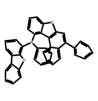 c1ccc(-c2cc3oc4cccc(N(c5ccccc5)c5cccc6c5oc5ccccc56)c4c3c3ccccc23)cc1